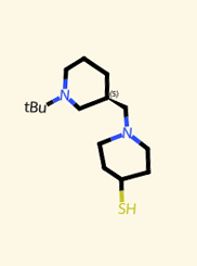 CC(C)(C)N1CCC[C@@H](CN2CCC(S)CC2)C1